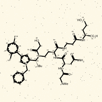 CNCC(=O)N[C@@H](CC(N)=O)C(=O)N[C@@H](CCN(C(=O)CO)[C@@H](c1cc(-c2cc(F)ccc2F)cn1Cc1ccccc1)C(C)(C)C)C(=O)NCCC(=O)N[C@@H](CCC(=O)O)C(=O)O